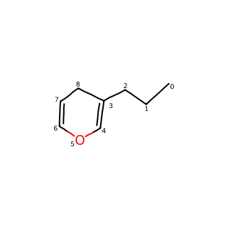 CCCC1=COC=CC1